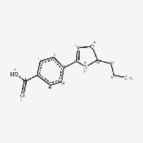 O=C(O)c1ccc(C2=NOC(CCCl)N2)cc1